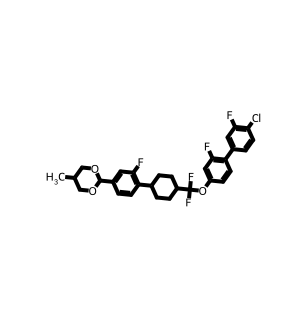 CC1COC(c2ccc(C3CCC(C(F)(F)Oc4ccc(-c5ccc(Cl)c(F)c5)c(F)c4)CC3)c(F)c2)OC1